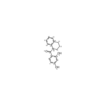 O=C(c1ccc(O)cc1O)N1CCCc2ccccc21